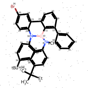 CCC(C)(C)c1ccc(N(C)B2c3c(-c4ccccc4)cccc3-c3cc(Br)ccc3N2c2ccc(C(C)(C)C)cc2)cc1